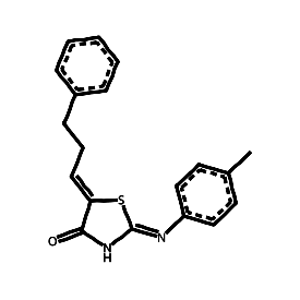 Cc1ccc(N=C2NC(=O)C(=CCCc3ccccc3)S2)cc1